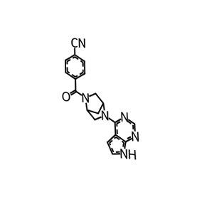 N#Cc1ccc(C(=O)N2CC3CC2CN3c2ncnc3[nH]ccc23)cc1